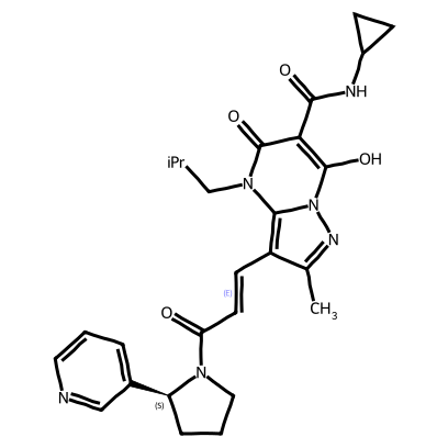 Cc1nn2c(O)c(C(=O)NC3CC3)c(=O)n(CC(C)C)c2c1/C=C/C(=O)N1CCC[C@H]1c1cccnc1